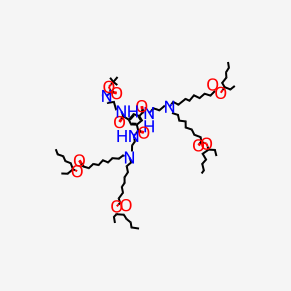 CCCCCC(CC)OC(=O)CCCCCCCCN(CCCCCCCCC(=O)OC(CC)CCCCC)CCCNC(=O)c1cc(C(=O)NCCCN(CCCCCCCCC(=O)OC(CC)CCCCC)CCCCCCCCC(=O)OC(CC)CCCCC)cc(C(=O)NCCCN(C)C(=O)OC(C)(C)C)c1